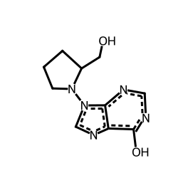 OCC1CCCN1n1cnc2c(O)ncnc21